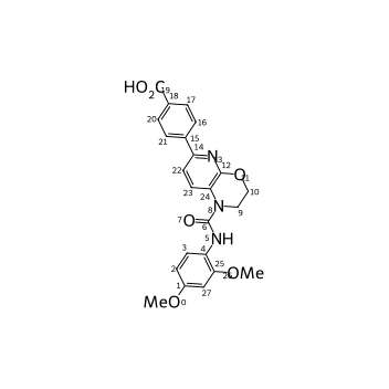 COc1ccc(NC(=O)N2CCOc3nc(-c4ccc(C(=O)O)cc4)ccc32)c(OC)c1